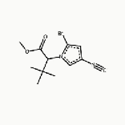 [C-]#[N+]c1cc(Br)n(C(C(=O)OC)C(C)(C)C)c1